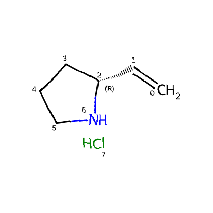 C=C[C@H]1CCCN1.Cl